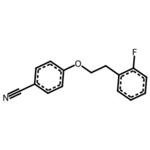 N#Cc1ccc(OCCc2ccccc2F)cc1